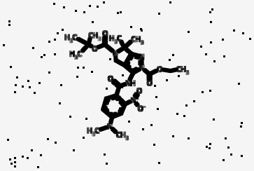 CCOC(=O)n1nc2c(c1NC(=O)c1ccc(N(C)C)cc1[N+](=O)[O-])CN(C(=O)OC(C)(C)C)C2(C)C